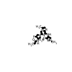 C=CC(=O)NC1CN(c2cn3c(C)cnc3c(Nc3cn(C)nc3OC)n2)CC1F